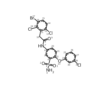 NS(=O)(=O)c1cc(NC(=O)Cc2c(Cl)ccc(Br)c2Cl)ccc1Oc1cccc(Cl)c1